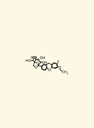 CCOc1ccc(Cc2cc(C34OCC(C(C)O)(O3)[C@@H](O)[C@H](O)[C@H]4O)ccc2Cl)cc1F